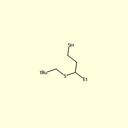 CCC(CCS)SCC(C)(C)C